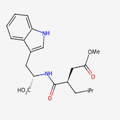 COC(=O)C[C@@H](CC(C)C)C(=O)N[C@@H](Cc1c[nH]c2ccccc12)C(=O)O